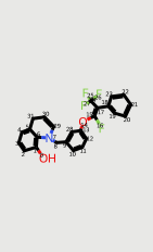 Oc1cccc2c1N(Cc1cccc(OC(F)=C(c3ccccc3)C(F)(F)F)c1)C=CC2